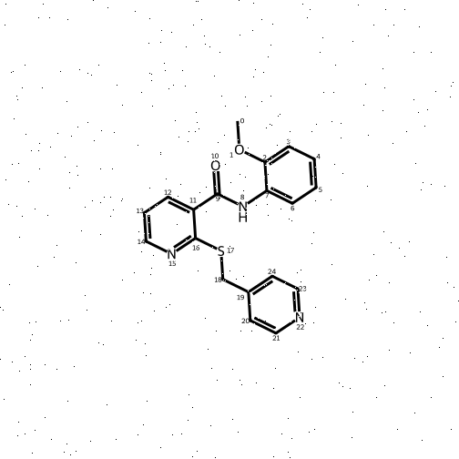 COc1ccccc1NC(=O)c1cccnc1SCc1ccncc1